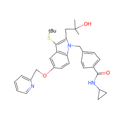 CC(C)(O)Cc1c(SC(C)(C)C)c2cc(OCc3ccccn3)ccc2n1Cc1ccc(C(=O)NC2CC2)cc1